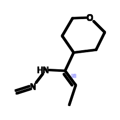 C=NN/C(=C\C)C1CCOCC1